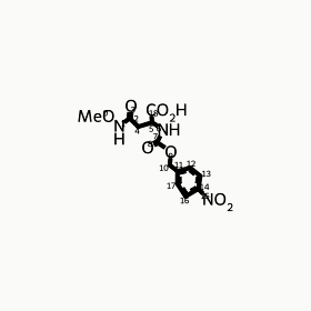 CONC(=O)CC(NC(=O)OCc1ccc([N+](=O)[O-])cc1)C(=O)O